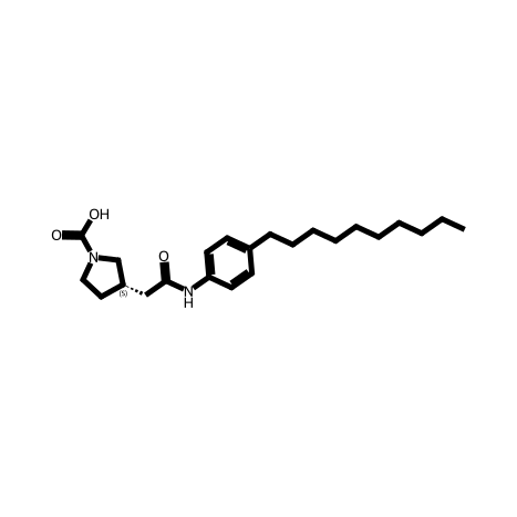 CCCCCCCCCCc1ccc(NC(=O)C[C@@H]2CCN(C(=O)O)C2)cc1